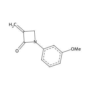 C=C1CN(c2cccc(OC)c2)C1=O